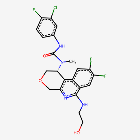 CN(C(=O)Nc1ccc(F)c(Cl)c1)[C@H]1COCc2nc(NCCO)c3cc(F)c(F)cc3c21